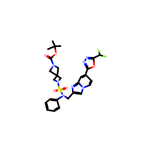 CC(C)(C)OC(=O)N1CC2(C1)CN(S(=O)(=O)N(Cc1cn3ccc(-c4nnc(C(F)F)o4)cc3n1)c1ccccc1)C2